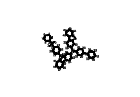 CC(C)(c1ccccc1)c1ccc(-n2c3ccccc3c3ccc(N(c4ccc(-c5ccccc5)cc4)c4ccc5c(c4)sc4ccccc45)cc32)cc1